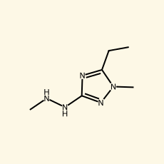 CCc1nc(NNC)nn1C